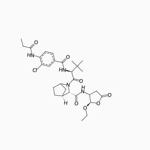 CCO[C@@H]1OC(=O)CC1NC(=O)[C@@H]1[C@H]2CCC(C2)N1C(=O)[C@@H](NC(=O)c1ccc(NC(=O)CC)c(Cl)c1)C(C)(C)C